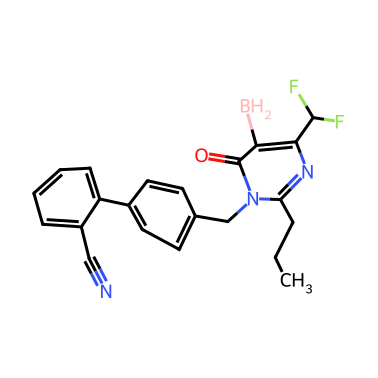 Bc1c(C(F)F)nc(CCC)n(Cc2ccc(-c3ccccc3C#N)cc2)c1=O